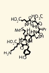 CSCC[C@H](NC(=O)[C@H](CS)NC(=O)[C@@H](NC(=O)[C@H](CC(=O)O)NC(=O)[C@@H](N)CCC(=O)O)C(C)C)C(=O)N[C@@H](Cc1ccc(O)cc1)C(=O)N[C@@H](CCCCN)C(=O)O